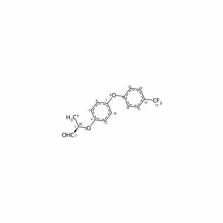 C[C@H]([C]=O)Oc1ccc(Oc2ccc(C(F)(F)F)cc2)cc1